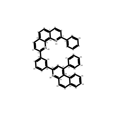 c1ccc(-c2ccc3ccc4ccc(-c5cccc(-c6cc(-c7ccccc7)c7c(ccc8ccccc87)n6)c5)nc4c3n2)cc1